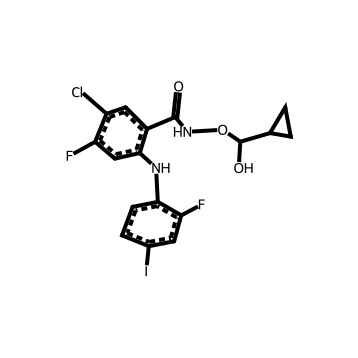 O=C(NOC(O)C1CC1)c1cc(Cl)c(F)cc1Nc1ccc(I)cc1F